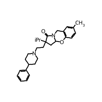 Cc1ccc2c(c1)CN1C(=O)C(CCN3CCC(c4ccccc4)CC3)(C(C)C)CC1O2